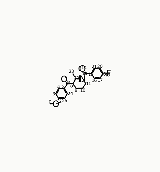 COc1ccc(C(=O)C2CCCN(C(=O)c3ccc(F)cc3)[C@@H]2C)cc1